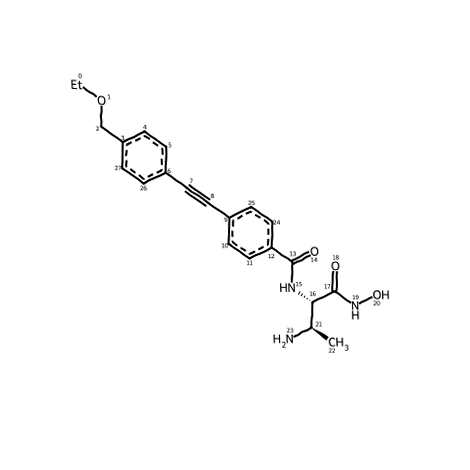 CCOCc1ccc(C#Cc2ccc(C(=O)N[C@H](C(=O)NO)[C@@H](C)N)cc2)cc1